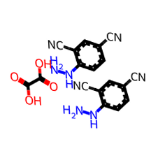 N#Cc1ccc(NN)c(C#N)c1.N#Cc1ccc(NN)c(C#N)c1.O=C(O)C(=O)O